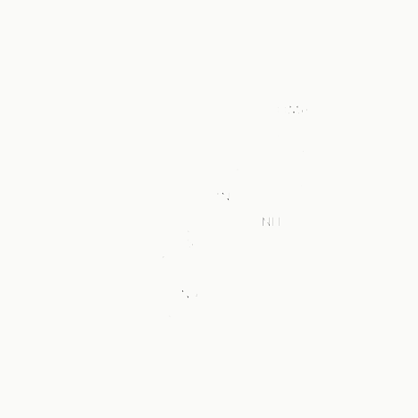 COc1ccc2[nH]c(CSc3ccccn3)nc2c1